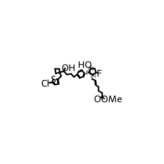 COC(=O)CCCC=CC[C@H]1C(F)C[C@@H](O)[C@H]1c1ccc(CCCC(O)C2(Cc3ccc(Cl)s3)CCC2)cc1